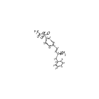 N[C@H](/C=C/c1ccc(S(=O)(=O)OC(=O)C(F)(F)F)cc1)Cc1ccccc1